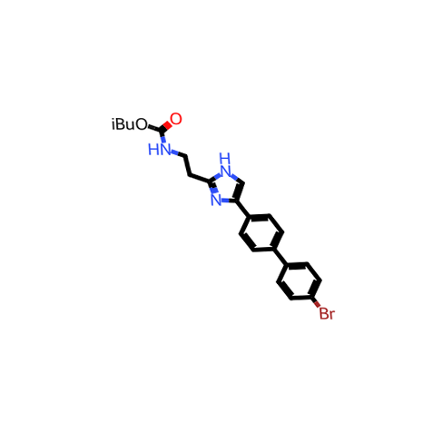 CC(C)COC(=O)NCCc1nc(-c2ccc(-c3ccc(Br)cc3)cc2)c[nH]1